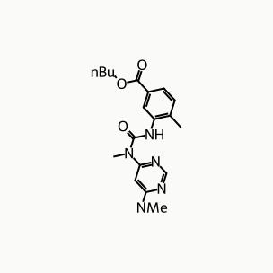 CCCCOC(=O)c1ccc(C)c(NC(=O)N(C)c2cc(NC)ncn2)c1